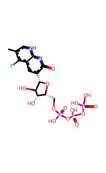 Cc1c[nH]c2nc(=O)c([C@@H]3O[C@H](COP(=O)(O)OP(=O)(O)OP(=O)(O)O)[C@H](O)C3O)cc-2c1F